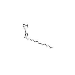 CCCCCCCCCCCCCCC(C)OCCCO